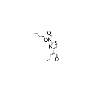 CCC=C(C=O)c1csc(N(C=O)OCCCC)n1